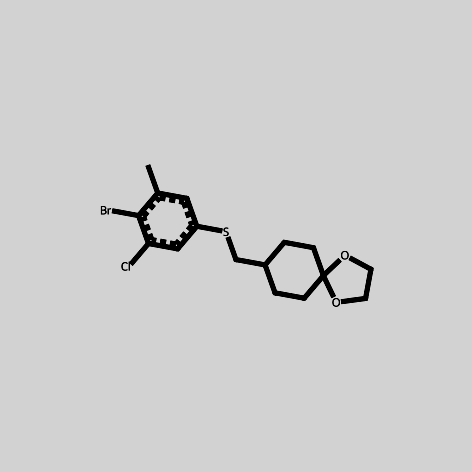 Cc1cc(SCC2CCC3(CC2)OCCO3)cc(Cl)c1Br